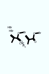 Br.Br.C.C.C=C(C)C(=O)OBr.C=C(C)C(=O)OBr